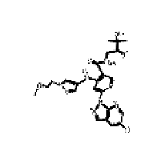 COCCn1cc(Nc2cc(-n3ncc4cc(Cl)cnc43)ncc2C(=O)NCC(F)C(C)(C)O)cn1